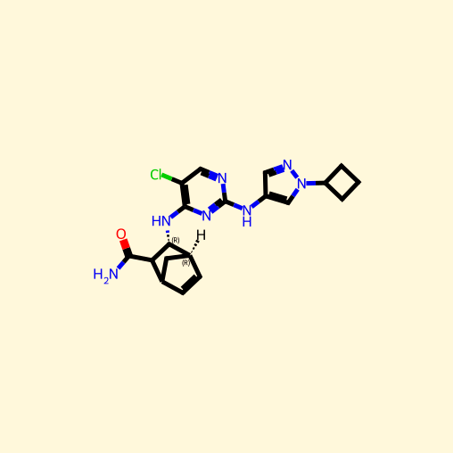 NC(=O)C1C2C=C[C@@H](C2)[C@H]1Nc1nc(Nc2cnn(C3CCC3)c2)ncc1Cl